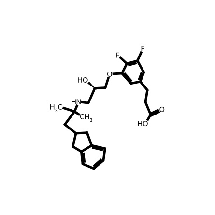 CC(C)(CC1Cc2ccccc2C1)NC[C@@H](O)COc1cc(CCC(=O)O)cc(F)c1F